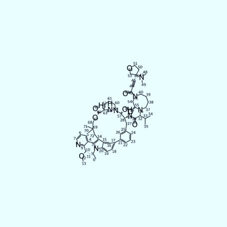 CCn1c(-c2cccnc2[C@H](C)OC)c2c3cc(ccc31)-c1cccc(c1)C[C@H](NC(=O)C(C(C)C)N1CCCCN(C(=O)C#C[C@@]3(N(C)C)CCOC3)CC1=O)C(=O)N1CCC[C@H](N1)C(=O)OCC(C)(C)C2